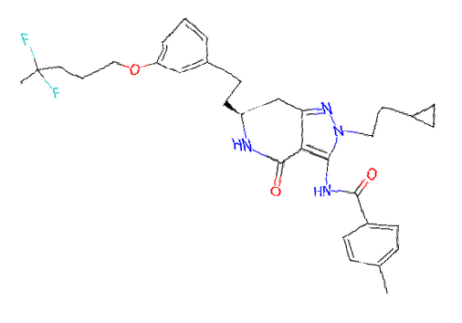 Cc1ccc(C(=O)Nc2c3c(nn2CCC2CC2)C[C@H](CCc2cccc(OCCCC(C)(F)F)c2)NC3=O)cc1